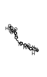 C[C@H]1CCCN1Cc1nc2cc(NC(=O)c3ccc(-c4ccc(CCCC5CCN(c6ccc7c(c6)C(=O)N(C6CCC(=O)NC6=O)C7=O)CC5)nc4)cc3)ccc2[nH]1